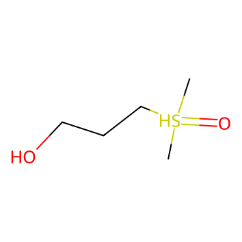 C[SH](C)(=O)CCCO